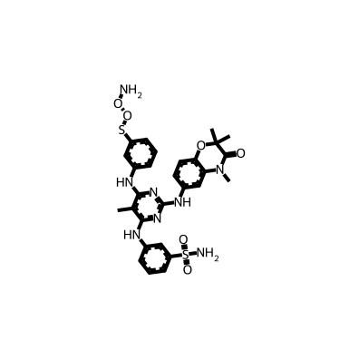 Cc1c(Nc2cccc(SOON)c2)nc(Nc2ccc3c(c2)N(C)C(=O)C(C)(C)O3)nc1Nc1cccc(S(N)(=O)=O)c1